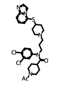 CC(=O)N1CCC(C(=O)N(CCCN2CCC(Sc3cccc4nccn34)CC2)c2ccc(Cl)c(Cl)c2)CC1